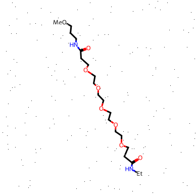 CCNC(=O)CCOCCOCCOCCOCCOCCC(=O)NCCCOC